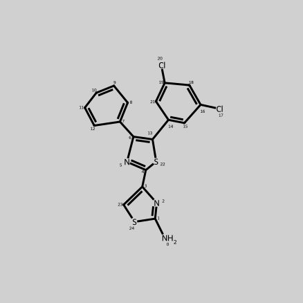 Nc1nc(-c2nc(-c3ccccc3)c(-c3cc(Cl)cc(Cl)c3)s2)cs1